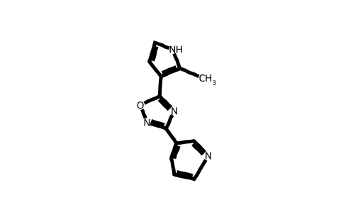 Cc1[nH]ccc1-c1nc(-c2cccnc2)no1